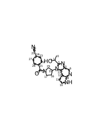 CC(O)c1nc2cnc3[nH]ccc3c2n1C1CCN(C(=O)c2ccc(C#N)cc2)C1